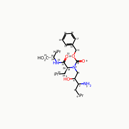 CC(C)CC(N)C(O)CN(C(=O)OCc1ccccc1)[C@@H](CC(C)C)C(=O)N[C@H](C(=O)O)C(C)C